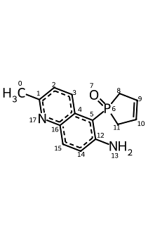 Cc1ccc2c(P3(=O)CC=CC3)c(N)ccc2n1